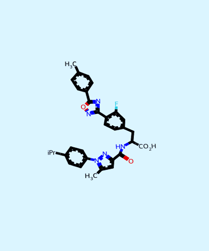 Cc1ccc(-c2nc(-c3ccc(CC(NC(=O)c4cc(C)n(-c5ccc(C(C)C)cc5)n4)C(=O)O)cc3F)no2)cc1